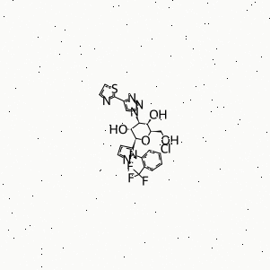 OC[C@H]1O[C@@H](c2ccnn2-c2cc(Cl)ccc2C(F)(F)F)[C@H](O)[C@@H](n2cc(-c3nccs3)nn2)[C@H]1O